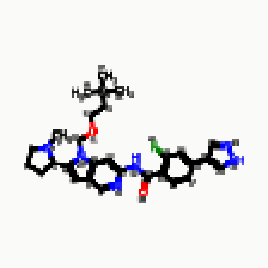 CN1CCC[C@@H]1c1cc2cnc(NC(=O)c3ccc(-c4cn[nH]c4)cc3F)cc2n1COCC[Si](C)(C)C